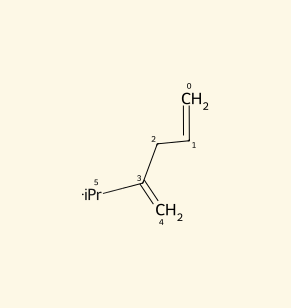 C=CCC(=C)[C](C)C